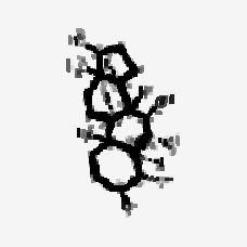 C[C@]12CC[C@H](O)[C@@H](O)[C@@H]1[C@@H](O)[C@H](O)[C@@H]1[C@@H]2CC[C@]2(C)[C@@H](O)CC[C@@H]12